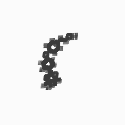 CC1(C)OB(c2ccc(OC3CCN(CCO)CC3)cc2)OC1(C)C